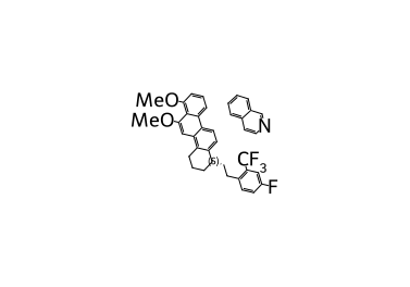 COc1cccc2c1c(OC)cc1c3c(ccc12)[C@H](CCc1ccc(F)cc1C(F)(F)F)CCC3.c1ccc2cnccc2c1